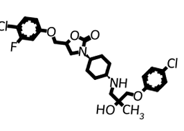 CC(O)(CN[C@H]1CC[C@H](N2CC(COc3ccc(Cl)c(F)c3)OC2=O)CC1)COc1ccc(Cl)cc1